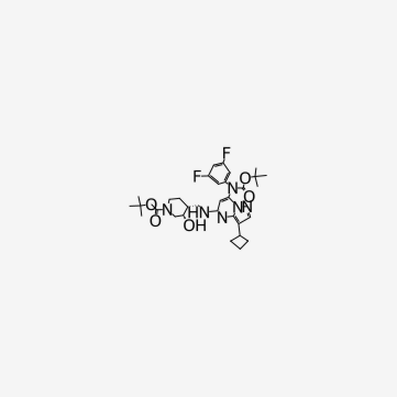 CC(C)(C)OC(=O)N1CC[C@H](CNc2cc(N(C(=O)OC(C)(C)C)c3cc(F)cc(F)c3)n3ncc(C4CCC4)c3n2)[C@@H](O)C1